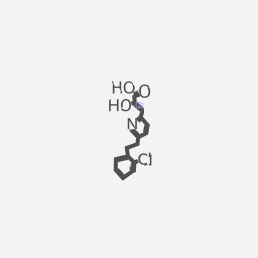 O=C(O)/C(O)=C/c1ccc(CCc2ccccc2Cl)cn1